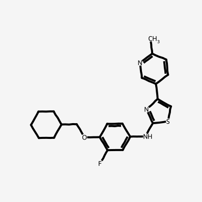 Cc1ccc(-c2csc(Nc3ccc(OCC4CCCCC4)c(F)c3)n2)cn1